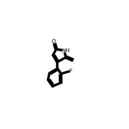 C=C1NC(=O)C=C1c1ccccc1F